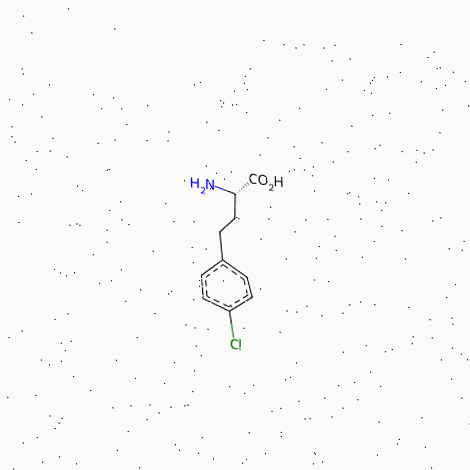 N[C@@H](CCc1ccc(Cl)cc1)C(=O)O